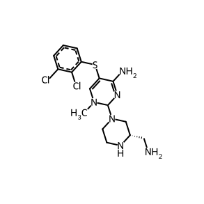 CN1C=C(Sc2cccc(Cl)c2Cl)C(N)=NC1N1CCN[C@@H](CN)C1